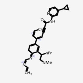 C=C/N=C\N=C1/CC=C(C(/C=C\C)=C/C#CC(=O)Nc2cc(C3CC3)ccn2)C=C1C(CCC)CNC